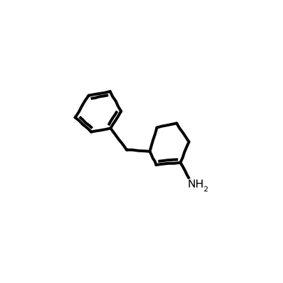 NC1=CC(Cc2ccccc2)CCC1